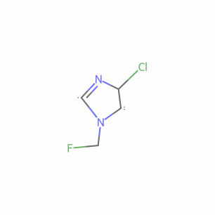 FCN1[C]C(Cl)N=[C]1